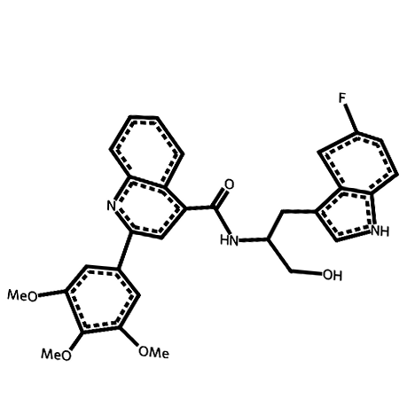 COc1cc(-c2cc(C(=O)NC(CO)Cc3c[nH]c4ccc(F)cc34)c3ccccc3n2)cc(OC)c1OC